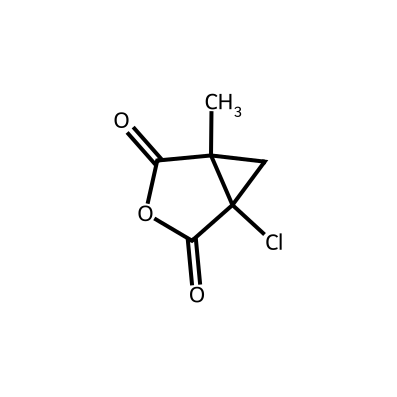 CC12CC1(Cl)C(=O)OC2=O